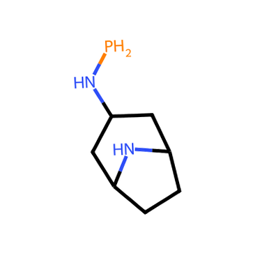 PNC1CC2CCC(C1)N2